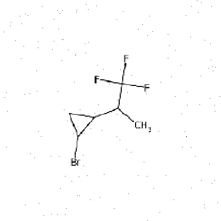 CC(C1CC1Br)C(F)(F)F